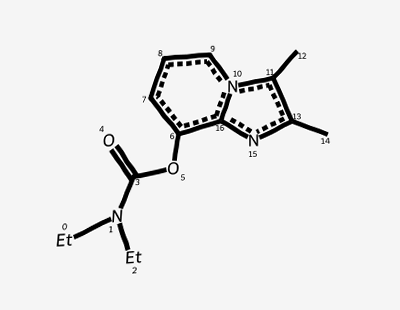 CCN(CC)C(=O)Oc1cccn2c(C)c(C)nc12